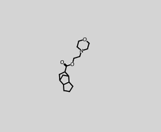 O=C(OCCN1CCOCC1)C1CC2CC1C1CCCC21